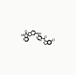 O=C(c1cc(NC2=CC3CC4(CC3C=C2)C(=O)Nc2ncccc24)ncn1)N1CCc2ccc(Cl)cc21